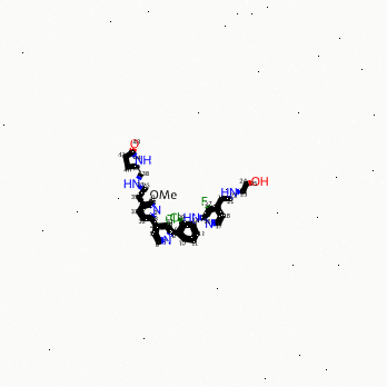 COc1nc(-c2ccnc(-c3cccc(Nc4nccc(CCNCCO)c4F)c3Cl)c2Cl)ccc1CCNC[C@@H]1CCC(=O)N1